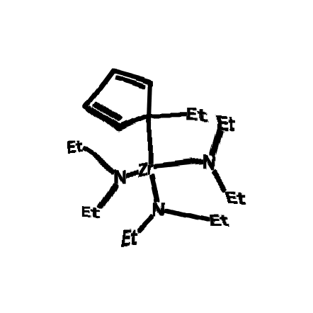 CC[N](CC)[Zr]([N](CC)CC)([N](CC)CC)[C]1(CC)C=CC=C1